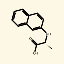 C[C@@H](Nc1ccc2ccccc2c1)C(=O)O